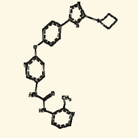 Cc1ncccc1NC(=O)Nc1ccc(Oc2ccc(-c3cnc(N4CCC4)s3)cc2)nc1